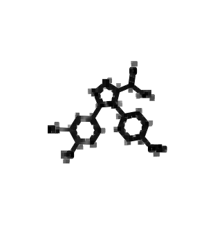 CCC(C)c1cc(-c2nnc(C(N)=O)n2-c2ccc(OC)cc2)ccc1O